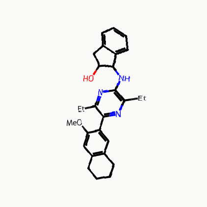 CCc1nc(-c2cc3c(cc2OC)CCCC3)c(CC)nc1NC1c2ccccc2CC1O